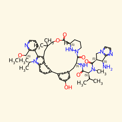 CCn1c(-c2cccnc2[C@H](C)OC)c2c3cc(ccc31)-c1cc(O)cc(c1)C[C@H](NC(=O)[C@H](C(C)C)N(C)C(=O)[C@H]1Cn3ccnc3[C@H]1N)C(=O)N1CCC[C@H](N1)C(=O)OCC(C)(C)C2